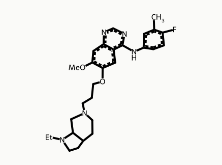 CCN1CCC2CCN(CCCOc3cc4c(Nc5ccc(F)c(C)c5)ncnc4cc3OC)CC21